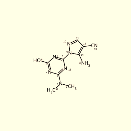 CN(C)c1nc(O)nc(-n2ncc(C#N)c2N)n1